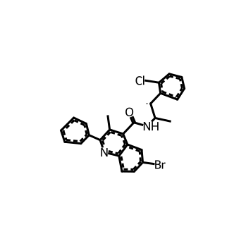 Cc1c(-c2ccccc2)nc2ccc(Br)cc2c1C(=O)NC(C)[CH]c1ccccc1Cl